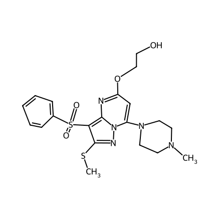 CSc1nn2c(N3CCN(C)CC3)cc(OCCO)nc2c1S(=O)(=O)c1ccccc1